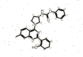 Cc1ccc2c(N3CC[C@@H](NC(=O)Oc4ccccc4)C3)nc(C3=C(O)CCC=C3)nc2c1